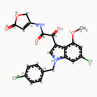 COc1cc(Cl)cc2c1c(C(=O)C(=O)NC1=CC(=O)OC1)cn2Cc1ccc(Cl)cc1